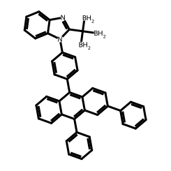 BC(B)(B)c1nc2ccccc2n1-c1ccc(-c2c3ccccc3c(-c3ccccc3)c3cc(-c4ccccc4)ccc23)cc1